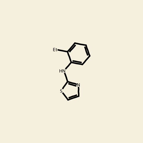 CCc1ccccc1Nc1nccs1